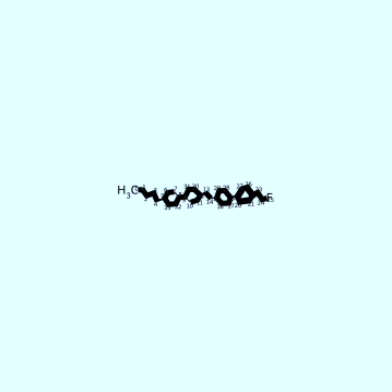 CCCCC[C@H]1CC[C@H]([C@H]2CC[C@H](CC[C@H]3CC[C@H](c4ccc(CCF)cc4)CC3)CC2)CC1